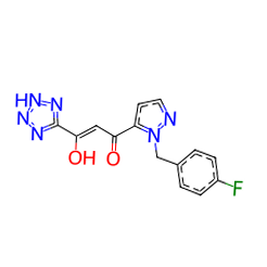 O=C(C=C(O)c1nn[nH]n1)c1ccnn1Cc1ccc(F)cc1